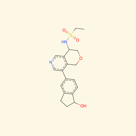 CCS(=O)(=O)NC1COCc2c(-c3ccc4c(c3)CCC4O)cncc21